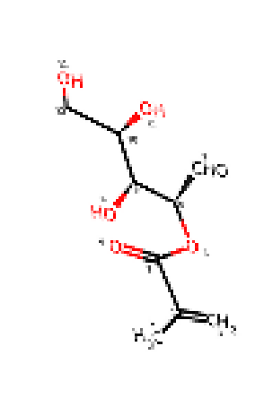 C=C(C)C(=O)O[C@H](C=O)[C@@H](O)[C@H](O)CO